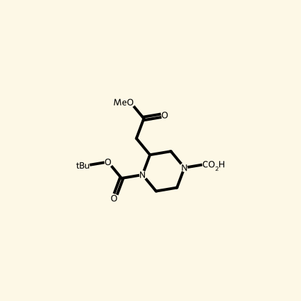 COC(=O)CC1CN(C(=O)O)CCN1C(=O)OC(C)(C)C